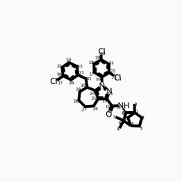 CC12CCC(C1)C(C)(C)[C@H]2NC(=O)c1nn(-c2ccc(Cl)cc2Cl)c2c1CCCCC2Cc1cccc(Cl)c1